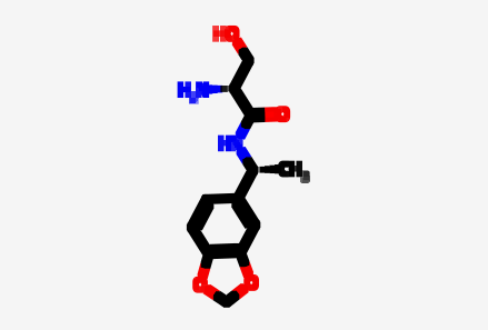 C[C@@H](NC(=O)[C@H](N)CO)c1ccc2c(c1)OCO2